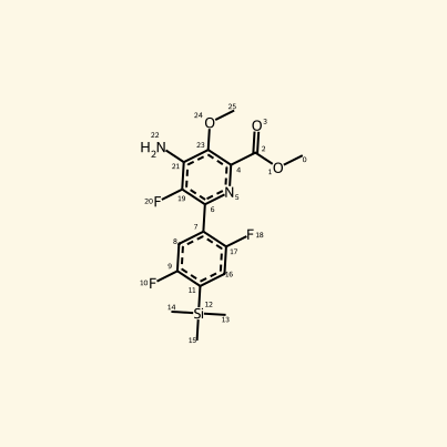 COC(=O)c1nc(-c2cc(F)c([Si](C)(C)C)cc2F)c(F)c(N)c1OC